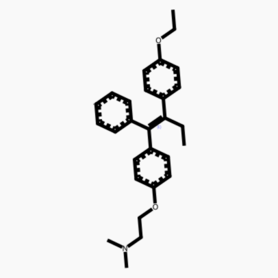 CCOc1ccc(/C(CC)=C(\c2cc[c]cc2)c2ccc(OCCN(C)C)cc2)cc1